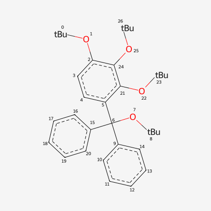 CC(C)(C)Oc1ccc(C(OC(C)(C)C)(c2ccccc2)c2ccccc2)c(OC(C)(C)C)c1OC(C)(C)C